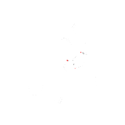 c1ccc(-c2cccc(N(c3ccc(-c4cc5ccccc5c5ccccc45)cc3)c3cccc(-c4ccccc4)c3-c3ccccc3-c3ccccc3)c2)cc1